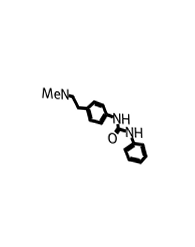 CNCCc1ccc(NC(=O)Nc2ccccc2)cc1